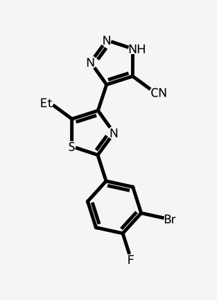 CCc1sc(-c2ccc(F)c(Br)c2)nc1-c1nn[nH]c1C#N